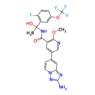 BC(O)(NC(=O)c1cc(-c2ccn3nc(N)nc3c2)cnc1OC)c1cc(OC(F)(F)F)ccc1F